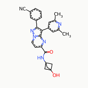 Cc1cc(-c2c(-c3cccc(C#N)c3)nn3ccc(C(=O)NC45CC(O)(C4)C5)nc23)cc(C)n1